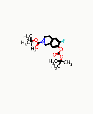 CC(C)(C)OC(=O)Oc1cc2c(cc1F)CCN(C(=O)OC(C)(C)C)C2